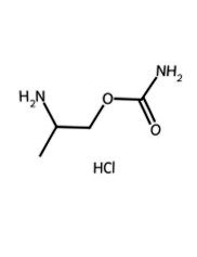 CC(N)COC(N)=O.Cl